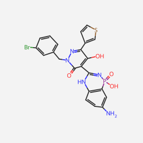 Nc1ccc2c(c1)P(=O)(O)N=C(c1c(O)c(-c3ccsc3)nn(Cc3cccc(Br)c3)c1=O)N2